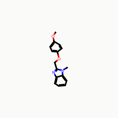 COc1ccc(OCc2nc3ccccc3n2C)cc1